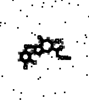 COCC(=O)N1CC2=C[C@H](c3c(OC)ccc(Cl)c3Cl)CN2C(=O)C[C@@H]1C